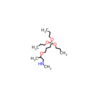 CCCO[Si](CCCOC(C)CNC)(OCCC)OCCC